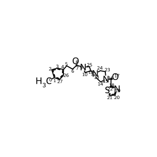 Cc1ccc(CCC(=O)N2CC(N3CCN(C(=O)c4nccs4)CC3)C2)cc1